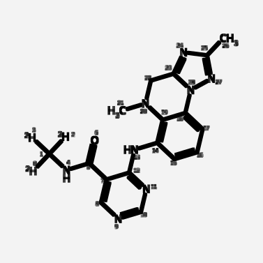 [2H]C([2H])([2H])NC(=O)c1cncnc1Nc1cccc2c1N(C)Cc1nc(C)nn1-2